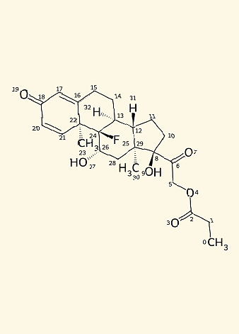 CCC(=O)OCC(=O)[C@@]1(O)CC[C@H]2[C@@H]3CCC4=CC(=O)C=C[C@]4(C)[C@@]3(F)[C@@H](O)C[C@@]21C